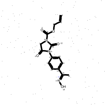 C=CCOC(=O)N1CC(=O)N(c2ccc(/C(C)=N/O)cc2)C1=O